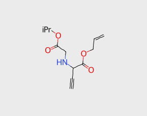 C#CC(NCC(=O)OC(C)C)C(=O)OCC=C